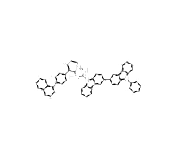 C1=CN2NC(n3c4ccccc4c4cc(-c5ccc6c(c5)c5ccccc5n6-c5ccccc5)ccc43)NC2C(c2ccc(-c3cccc4ccccc34)cc2)=C1